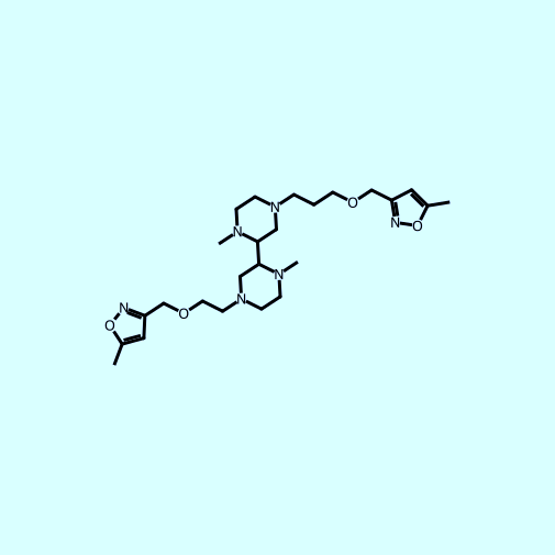 Cc1cc(COCCCN2CCN(C)C(C3CN(CCOCc4cc(C)on4)CCN3C)C2)no1